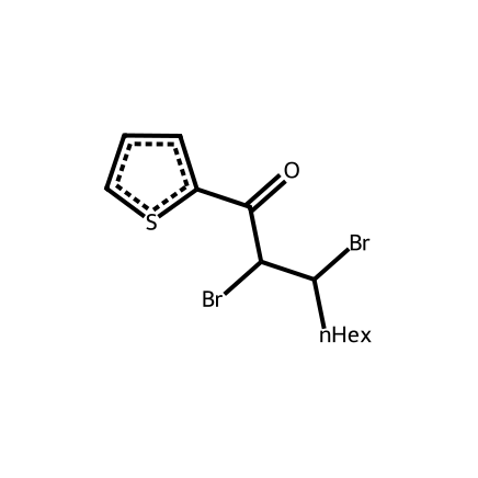 CCCCCCC(Br)C(Br)C(=O)c1cccs1